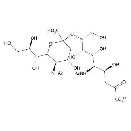 CC(=O)N[C@@H]([C@@H](O)[C@H](O)[C@@H](CO)OC1(C(=O)O)C[C@H](O)[C@@H](NC(C)=O)C([C@H](O)[C@H](O)CO)O1)[C@@H](O)CC(=O)C(=O)O